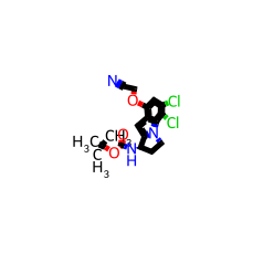 CC(C)(C)OC(=O)N[C@H]1CCn2c1cc1c(OCC#N)cc(Cl)c(Cl)c12